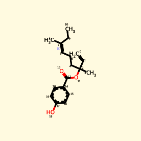 C=CC(C)(CC/C=C(/C)CC)OC(=O)c1ccc(O)cc1